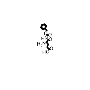 N[C@@H](CCC(=O)O)C(=O)NC(=O)OCc1ccccc1